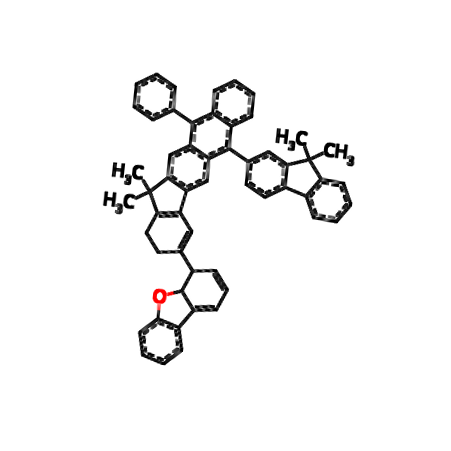 CC1(C)C2=C(C=C(C3C=CC=C4c5ccccc5OC43)CC2)c2cc3c(-c4ccc5c(c4)C(C)(C)c4ccccc4-5)c4ccccc4c(-c4ccccc4)c3cc21